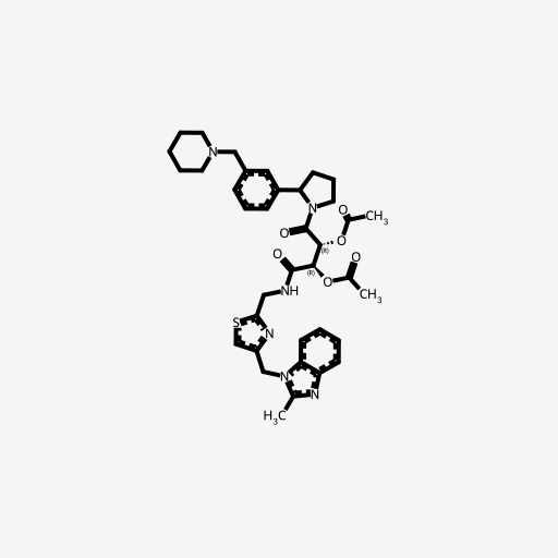 CC(=O)O[C@@H](C(=O)NCc1nc(Cn2c(C)nc3ccccc32)cs1)[C@@H](OC(C)=O)C(=O)N1CCCC1c1cccc(CN2CCCCC2)c1